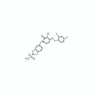 CS(=O)(=O)N1Cc2ccc(Cn3ccc(OCc4ccc(F)cc4F)c(Cl)c3=O)cc2C1